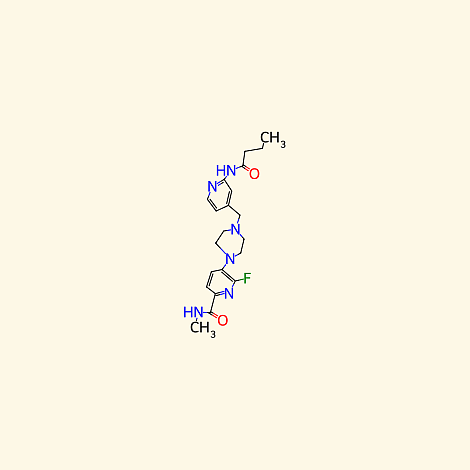 CCCC(=O)Nc1cc(CN2CCN(c3ccc(C(=O)NC)nc3F)CC2)ccn1